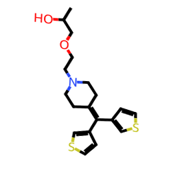 CC(O)COCCN1CCC(=C(c2ccsc2)c2ccsc2)CC1